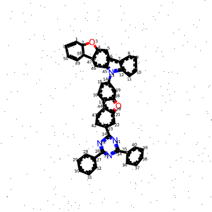 C1=CC2Oc3cc4c5ccccc5n(-c5ccc6c(c5)oc5cc(-c7nc(-c8ccccc8)nc(-c8ccccc8)n7)ccc56)c4cc3C2C=C1